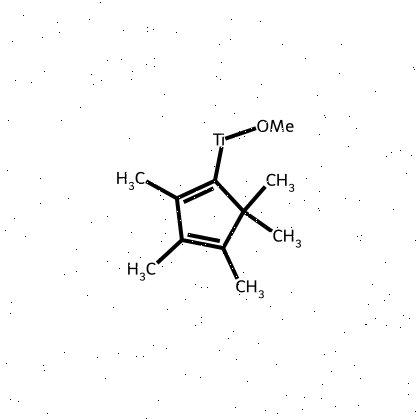 C[O][Ti][C]1=C(C)C(C)=C(C)C1(C)C